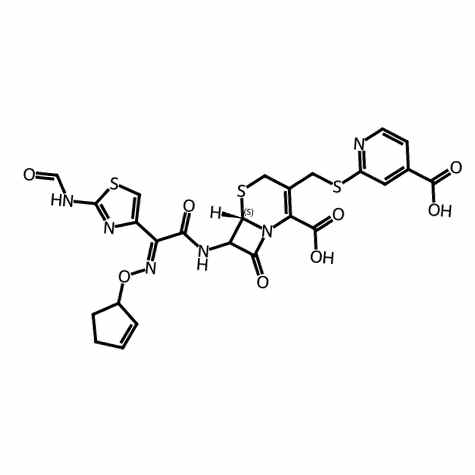 O=CNc1nc(C(=NOC2C=CCC2)C(=O)NC2C(=O)N3C(C(=O)O)=C(CSc4cc(C(=O)O)ccn4)CS[C@@H]23)cs1